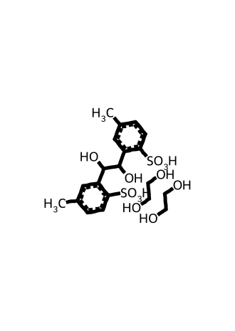 Cc1ccc(S(=O)(=O)O)c(C(O)C(O)c2cc(C)ccc2S(=O)(=O)O)c1.OCCO.OCCO